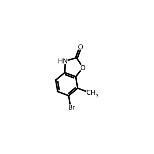 Cc1c(Br)ccc2[nH]c(=O)oc12